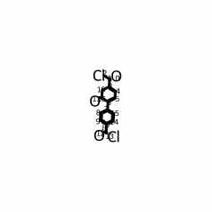 O=C(Cl)C1=CC=C(c2ccc(C(=O)Cl)cc2)C(=O)C1